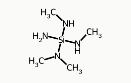 CN[Si](N)(NC)N(C)C